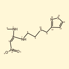 CN/C(=C/[N+](=O)[O-])NCCSCc1ccsn1